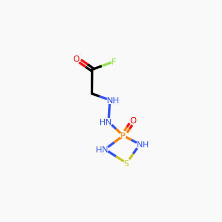 O=C(F)CNNP1(=O)NSN1